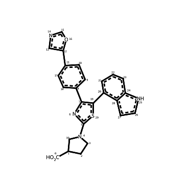 O=C(O)C1CCN(c2nc(-c3ccc(-c4cnco4)cc3)c(-c3cccc4[nH]ccc34)s2)C1